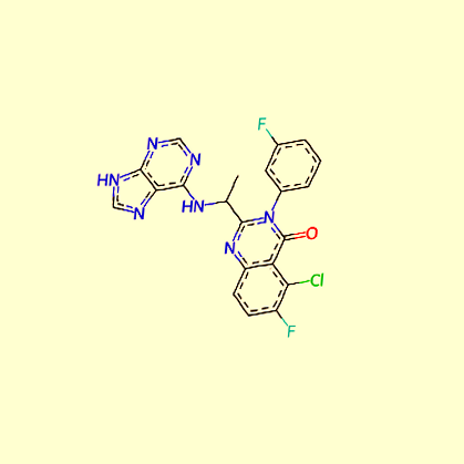 CC(Nc1ncnc2[nH]cnc12)c1nc2ccc(F)c(Cl)c2c(=O)n1-c1cccc(F)c1